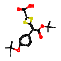 CC(C)(C)OC(=O)C(=C1SC(C(=O)O)S1)c1ccc(OC(C)(C)C)cc1